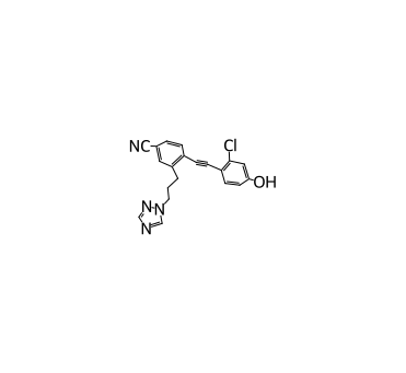 N#Cc1ccc(C#Cc2ccc(O)cc2Cl)c(CCCn2cncn2)c1